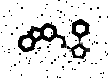 c1ccc([C@@H]2NCC[C@@H]2NCc2ccc3oc4ccccc4c3c2)cc1